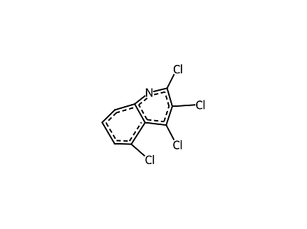 Clc1nc2cccc(Cl)c2c(Cl)c1Cl